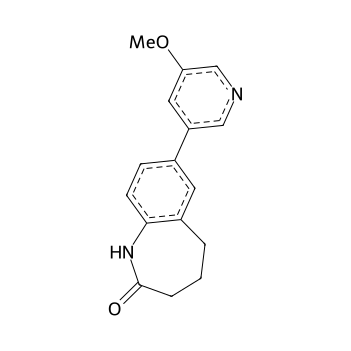 COc1cncc(-c2ccc3c(c2)CCCC(=O)N3)c1